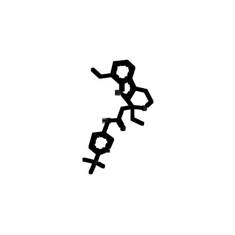 CCc1cccc2c3c([nH]c12)C(CC)(CC(=O)Nc1ccc([Si](C)(C)C)nc1)OCC3